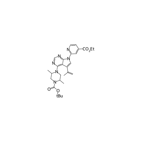 C=C(C)c1cn(-c2cc(C(=O)OCC)ccn2)c2ncnc(N3CC(C)N(C(=O)OC(C)(C)C)CC3C)c12